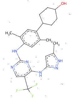 Cc1cc(Nc2nc(Nc3cc(C)c(C4CCC(O)CC4)cc3C)ncc2C(F)(F)F)n[nH]1